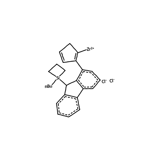 CCCC[Si]1(C2c3ccccc3-c3cccc(C4=[C]([Zr+2])CC=C4)c32)CCC1.[Cl-].[Cl-]